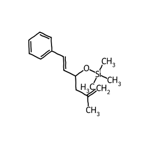 C=C(C)CC(/C=C/c1ccccc1)O[Si](C)(C)C